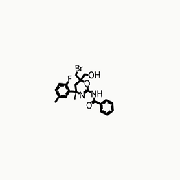 Cc1ccc(F)c([C@]2(C)CC(CO)(CBr)OC(NC(=O)c3ccccc3)=N2)c1